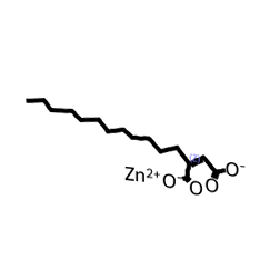 CCCCCCCCCCCC/C(=C/C(=O)[O-])C(=O)[O-].[Zn+2]